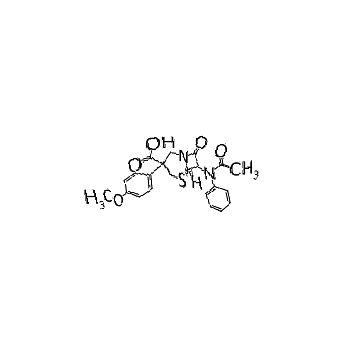 COc1ccc(C2(C(=O)O)CS[C@@H]3C(N(C(C)=O)c4ccccc4)C(=O)N3C2)cc1